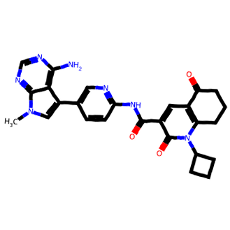 Cn1cc(-c2ccc(NC(=O)c3cc4c(n(C5CCC5)c3=O)CCCC4=O)nc2)c2c(N)ncnc21